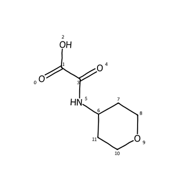 O=C(O)C(=O)NC1CCOCC1